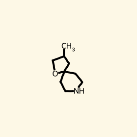 CC1COC2(CCNCC2)C1